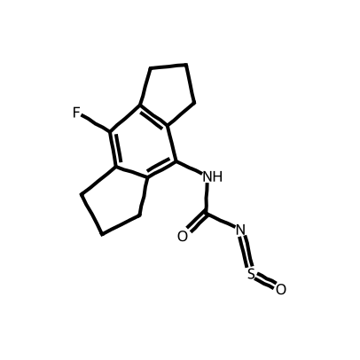 O=S=NC(=O)Nc1c2c(c(F)c3c1CCC3)CCC2